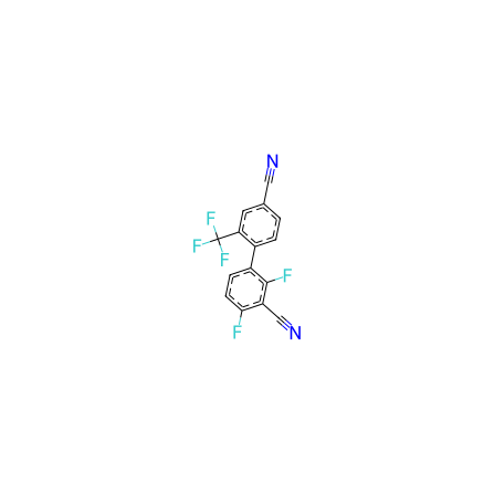 N#Cc1ccc(-c2ccc(F)c(C#N)c2F)c(C(F)(F)F)c1